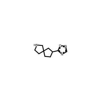 c1noc(C2CCC3(CCNC3)C2)n1